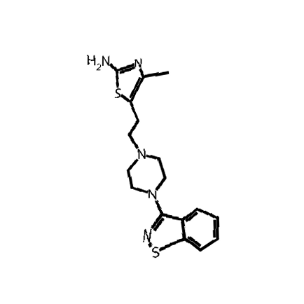 Cc1nc(N)sc1CCN1CCN(c2nsc3ccccc23)CC1